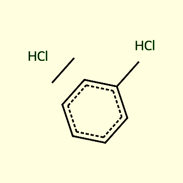 CC.Cc1ccccc1.Cl.Cl